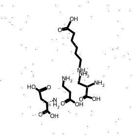 NCC(N)C(=O)O.NCCC(=O)O.NCCCCCC(=O)O.N[C@@H](CC(=O)O)C(=O)O